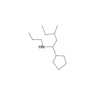 CCCNC(CC(C)CC)C1CCCC1